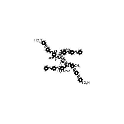 COc1cc(N=Nc2ccc(N=Nc3ccccc3)cc2S(=O)(=O)O)c(C)cc1Cc1nc(Cc2ccc(N=Nc3ccc(N=Nc4ccc(S(=O)(=O)O)cc4)cc3)c(C)c2)nc(N2CCN(c3nc(Nc4ccc(N=Nc5ccc(N=Nc6ccccc6)cc5S(=O)(=O)O)c(C)c4)nc(Nc4cc(C)c(N=Nc5ccc(N=Nc6ccc(S(=O)(=O)O)cc6)cc5)cc4CO)n3)CC2)n1